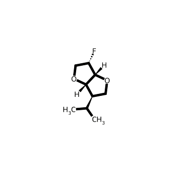 CC(C)[C@@H]1CO[C@@H]2[C@H]1OC[C@@H]2F